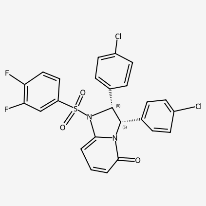 O=c1cccc2n1[C@@H](c1ccc(Cl)cc1)[C@@H](c1ccc(Cl)cc1)N2S(=O)(=O)c1ccc(F)c(F)c1